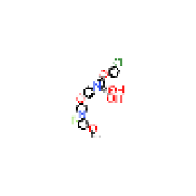 CCOc1ccc(F)c(N2CCC(Oc3ccc(N4C[C@H](Oc5cccc(Cl)c5)C[C@@H]4CC(O)O)cc3)CC2)c1